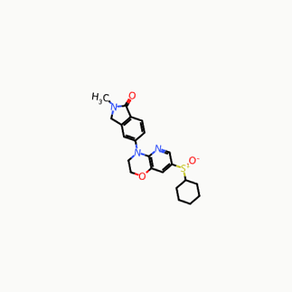 CN1Cc2cc(N3CCOc4cc([S+]([O-])C5CCCCC5)cnc43)ccc2C1=O